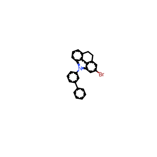 Brc1cc2c3c4c(cccc4n(-c4cccc(-c5ccccc5)c4)c3c1)CC2